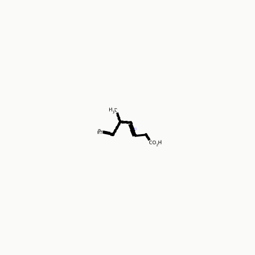 CC(C)CC(C)/C=C/CC(=O)O